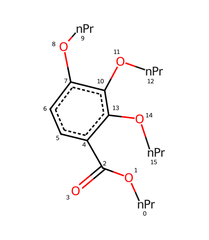 CCCOC(=O)c1ccc(OCCC)c(OCCC)c1OCCC